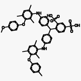 COc1ccc(Oc2c(C)cc(C)c(Nc3ccc(C(c4ccc(Nc5c(C)cc(C)c(Oc6ccc(C)cc6)c5C)cc4)c4ccc(S(=O)(=O)O)cc4S(=O)(=O)O)cc3)c2C)cc1